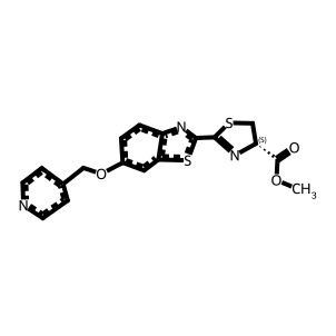 COC(=O)[C@H]1CSC(c2nc3ccc(OCc4ccncc4)cc3s2)=N1